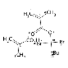 C=C(C)C(=O)O.C=C(C)C(=O)OC(Br)(Br)C(C)(C)C